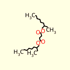 CCCCCCC(CC)COC(=O)CCC(=O)OCC(CC)CCCCCC